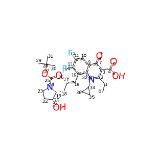 CCc1c(C(=O)O)c(=O)c2cc(F)c(F)c(C=CC[C@@H]3[C@@H](O)CCN3C(=O)OC(C)(C)C)c2n1C1CC1